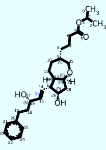 CC(C)OC(=O)CCC[C@H]1CC[C@@H]2[C@@H](/C=C/[C@@H](O)CCc3ccccc3)[C@H](O)C[C@@H]2OC1